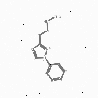 O=CNCCc1ccn(-c2ccccc2)n1